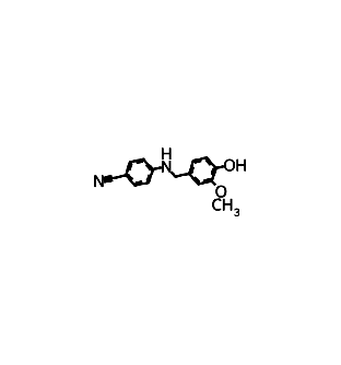 COc1cc(CNc2ccc(C#N)cc2)ccc1O